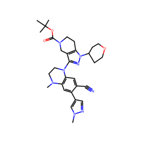 CN1CCN(c2nn(C3CCOCC3)c3c2CN(C(=O)OC(C)(C)C)CC3)c2cc(C#N)c(-c3cnn(C)c3)cc21